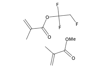 C=C(C)C(=O)OC.C=C(C)C(=O)OC(F)(F)CF